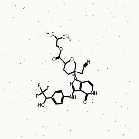 CC(C)COC(=O)C1CC[C@@](CC#N)(n2nc(Nc3ccc(C(O)C(F)(F)F)cc3)c3c(=O)[nH]ccc32)CO1